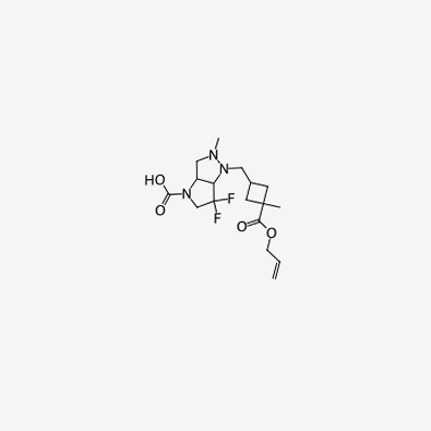 C=CCOC(=O)C1(C)CC(CN2C3C(CN2C)N(C(=O)O)CC3(F)F)C1